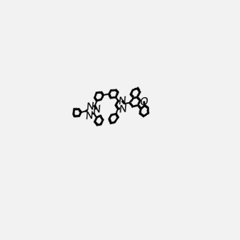 c1ccc(-c2cc(-c3cccc(-c4cccc(-c5nc(-c6ccccc6)nc(-c6ccccc6)n5)c4)c3)nc(-c3cc4c5ccccc5oc4c4ccccc34)n2)cc1